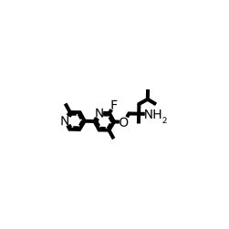 Cc1cc(-c2cc(C)c(OCC(C)(N)CC(C)C)c(F)n2)ccn1